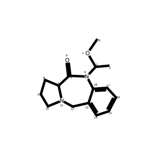 COC(C)N1C(=O)C2CCCN2Cc2ccccc21